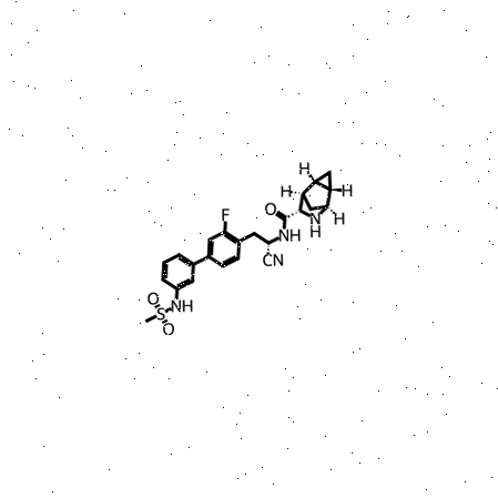 CS(=O)(=O)Nc1cccc(-c2ccc(C[C@@H](C#N)NC(=O)[C@H]3N[C@H]4C[C@@H]3[C@@H]3C[C@@H]34)c(F)c2)c1